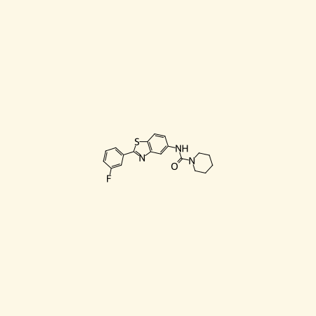 O=C(Nc1ccc2sc(-c3cccc(F)c3)nc2c1)N1CCCCC1